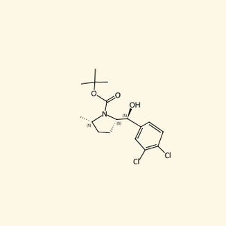 C[C@H]1CC[C@@H]([C@@H](O)c2ccc(Cl)c(Cl)c2)N1C(=O)OC(C)(C)C